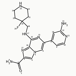 NC(=O)c1cn2cc(-c3ccnc(N)c3)nc(NCC3(F)CCNCC3)c2n1